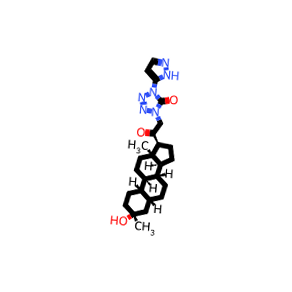 C[C@@]1(O)CC[C@H]2[C@H](CC[C@@H]3[C@@H]2CC[C@]2(C)[C@@H](C(=O)Cn4nnn(-c5ccn[nH]5)c4=O)CC[C@@H]32)C1